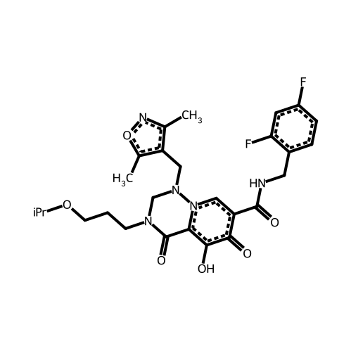 Cc1noc(C)c1CN1CN(CCCOC(C)C)C(=O)c2c(O)c(=O)c(C(=O)NCc3ccc(F)cc3F)cn21